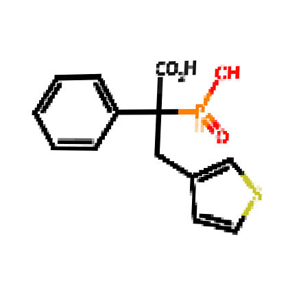 O=C(O)C(Cc1ccsc1)(c1ccccc1)[PH](=O)O